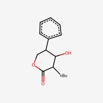 CCCCC1C(=O)OCC(c2ccccc2)C1O